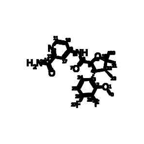 COc1c([C@@H]2C(C(=O)Nc3ccnc(C(N)=O)c3)OC(C)(C)[C@H]2C)ccc(F)c1F